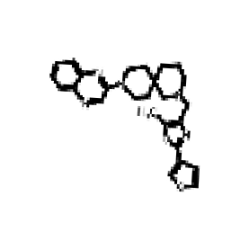 Cc1oc(-c2ccoc2)nc1CN1CCCC2(CCN(c3cnc4ccccc4n3)CC2)C1